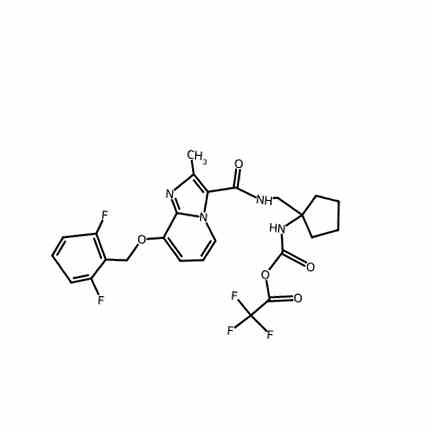 Cc1nc2c(OCc3c(F)cccc3F)cccn2c1C(=O)NCC1(NC(=O)OC(=O)C(F)(F)F)CCCC1